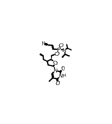 C=CCC1C[C@H](n2cc(C)c(=O)[nH]c2=O)O[C@@H]1COP(=O)(CCC#N)N(C(C)C)C(C)C